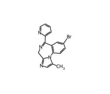 Cc1cnc2n1-c1ccc(Br)cc1C(c1ccccn1)=NC2